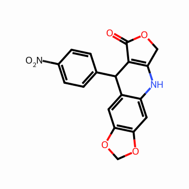 O=C1OCC2=C1C(c1ccc([N+](=O)[O-])cc1)c1cc3c(cc1N2)OCO3